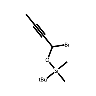 CC#CC(Br)O[Si](C)(C)C(C)(C)C